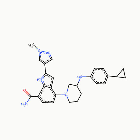 Cn1cc(-c2cc3c(N4CCCC(Nc5ccc(C6CC6)cc5)C4)ccc(C(N)=O)c3[nH]2)cn1